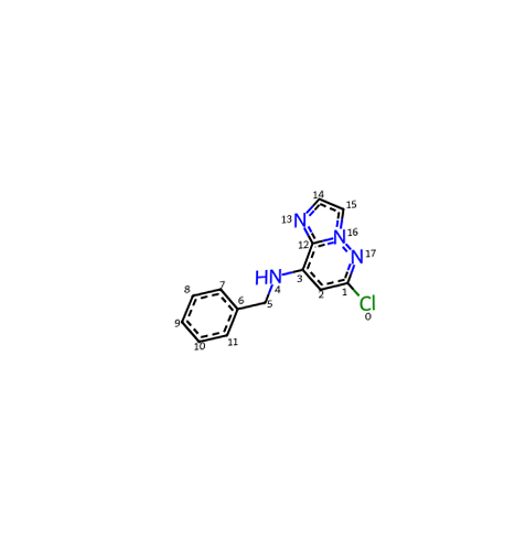 Clc1cc(NCc2ccccc2)c2nccn2n1